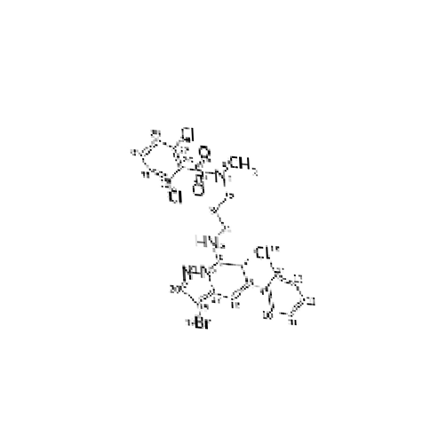 CN(CCCNc1cc(-c2ccccc2Cl)cc2c(Br)cnn12)S(=O)(=O)c1c(Cl)cccc1Cl